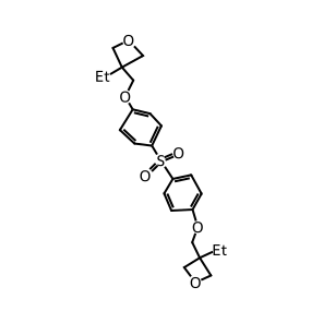 CCC1(COc2ccc(S(=O)(=O)c3ccc(OCC4(CC)COC4)cc3)cc2)COC1